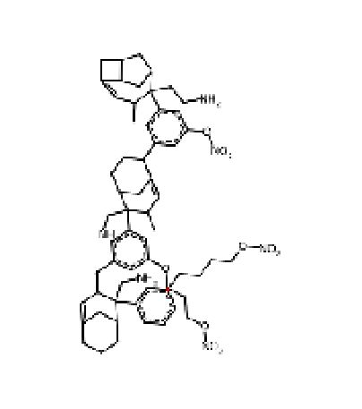 CC1C=C2CC(CCC2c2cc(O[N+](=O)[O-])cc(C3(CCN)C(C)C=C4CC5CC3CC45)c2)C1(CN)c1cc(CC2C=C3CCCC(C3)C2(CN)c2cccc(CCCCO[N+](=O)[O-])c2)cc(OCCCO[N+](=O)[O-])c1